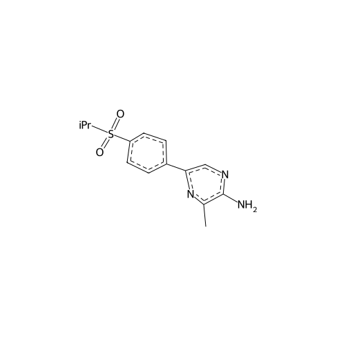 Cc1nc(-c2ccc(S(=O)(=O)C(C)C)cc2)cnc1N